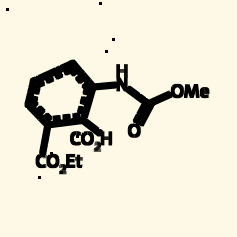 CCOC(=O)c1cccc(NC(=O)OC)c1C(=O)O